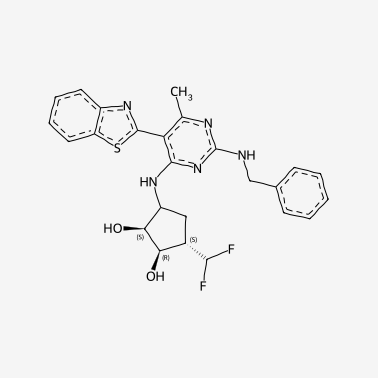 Cc1nc(NCc2ccccc2)nc(NC2C[C@H](C(F)F)[C@@H](O)[C@H]2O)c1-c1nc2ccccc2s1